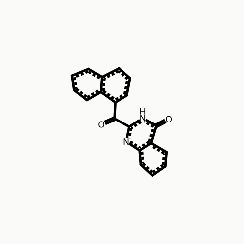 O=C(c1nc2ccccc2c(=O)[nH]1)c1cccc2ccccc12